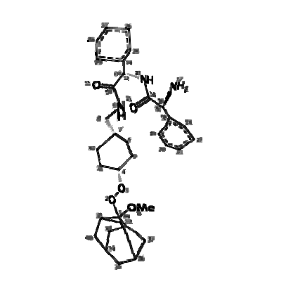 COC1(OO[C@H]2CC[C@@H](CNC(=O)[C@@H](NC(=O)[C@@H](N)c3ccccc3)c3ccccc3)CC2)C2CC3CC(C2)CC1C3